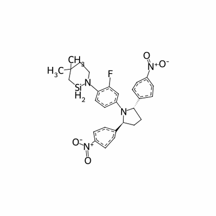 CC1(C)CCN(c2ccc(N3[C@H](c4ccc([N+](=O)[O-])cc4)CC[C@H]3c3ccc([N+](=O)[O-])cc3)cc2F)[SiH2]C1